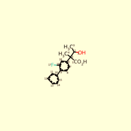 CC(O)C(C)(C(=O)O)c1ccc(-c2ccccc2)c(F)c1